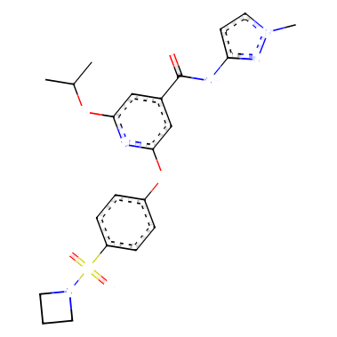 CC(C)Oc1cc(C(=O)Nc2ccn(C)n2)cc(Oc2ccc(S(=O)(=O)N3CCC3)cc2)n1